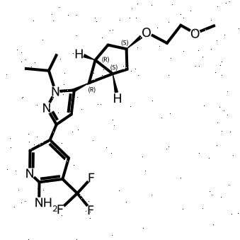 COCCO[C@@H]1C[C@@H]2[C@H](C1)[C@H]2c1cc(-c2cnc(N)c(C(F)(F)F)c2)nn1C(C)C